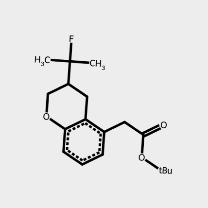 CC(C)(C)OC(=O)Cc1cccc2c1CC(C(C)(C)F)CO2